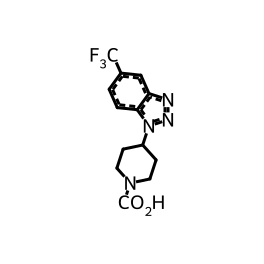 O=C(O)N1CCC(n2nnc3cc(C(F)(F)F)ccc32)CC1